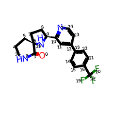 O=C1NCCC[C@]12CC[C@@H](c1cc(-c3ccc(C(F)(F)F)cc3)ccn1)N2